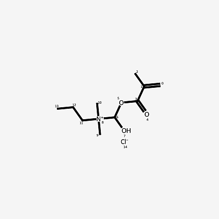 C=C(C)C(=O)OC(O)[N+](C)(C)CCC.[Cl-]